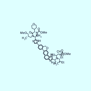 C=C(CC)[C@@H](CC)N(C(O)[C@H](C)NC(=O)OC)[C@@H](C)c1nc2ccc3cc4c(cc3c2[nH]1)OCc1cc(-c2cnc([C@H](C)N(C[C@H](C)COC)C(=O)[C@@H](NC(=O)OC)C3CCOCC3)[nH]2)ccc1-4